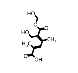 CC(=CC(C)=C(CO)C(=O)OCO)C(=O)O